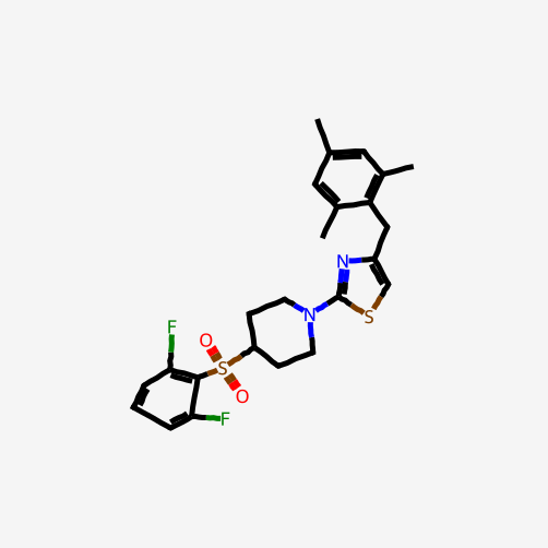 Cc1cc(C)c(Cc2csc(N3CCC(S(=O)(=O)c4c(F)cccc4F)CC3)n2)c(C)c1